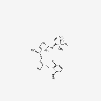 C=CC(=C\C=C(\C)CCc1c(F)cccc1C#N)/C(=C/C)NC/N=C(\C=C/C)C(C)(C)C